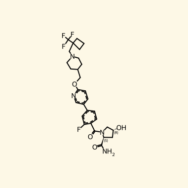 NC(=O)[C@@H]1C[C@@H](O)CN1C(=O)c1ccc(-c2ccc(OCC3CCN(CC4(C(F)(F)F)CCC4)CC3)nc2)cc1F